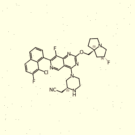 N#CC[C@H]1CN(c2nc(OC[C@@]34CCCN3C[C@H](F)C4)nc3c(F)c(-c4cccc5ccc(F)c(Cl)c45)ncc23)CCN1